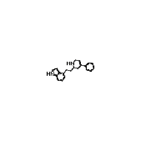 C1=C(c2ccccc2)CC(CCc2cccc3[nH]ccc23)NC1